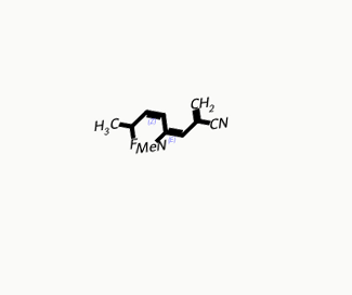 C=C(C#N)/C=C(\C=C/C(C)F)NC